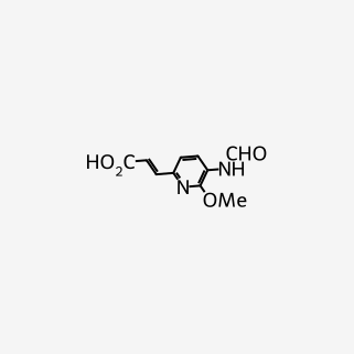 COc1nc(/C=C/C(=O)O)ccc1NC=O